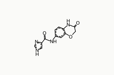 O=C1COc2cc(NC(=O)c3c[nH]cn3)ccc2N1